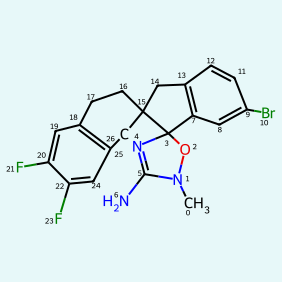 CN1OC2(N=C1N)c1cc(Br)ccc1CC21CCc2cc(F)c(F)cc2C1